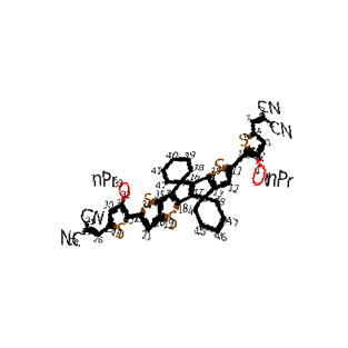 CCCOc1cc(C=C(C#N)C#N)sc1-c1cc2c(s1)C1=C(c3sc4cc(-c5sc(C=C(C#N)C#N)cc5OCCC)sc4c3C13CCCCC3)C21CCCCC1